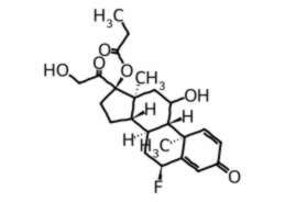 CCC(=O)O[C@]1(C(=O)CO)CC[C@H]2[C@@H]3C[C@H](F)C4=CC(=O)C=C[C@]4(C)[C@H]3C(O)C[C@@]21C